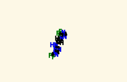 FC(F)Cn1ncc2ncc(N[C@H]3C[C@@H]4CN(c5nccnc5C(F)(F)F)C[C@@H]4C3)nc21